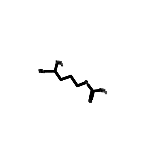 CC(C)(C)C(N)CCCOC(N)=O